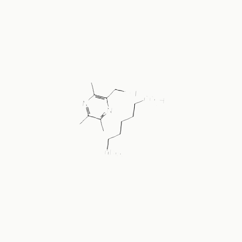 CCCCCCCCCCCCCCCC(=O)O.Cc1nc(C)c(CO)nc1C